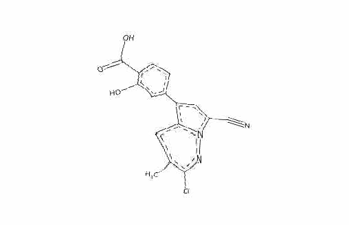 Cc1cc2c(-c3ccc(C(=O)O)c(O)c3)cc(C#N)n2nc1Cl